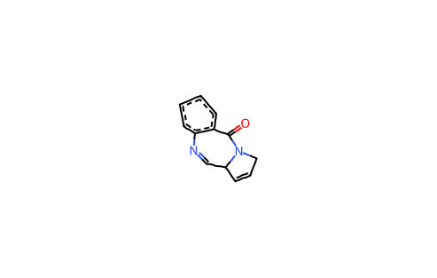 O=C1c2ccccc2N=CC2C=CCN12